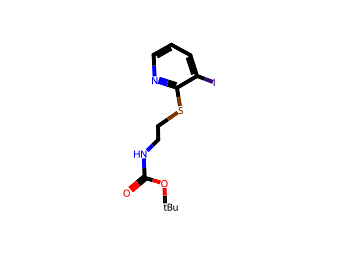 CC(C)(C)OC(=O)NCCSc1ncccc1I